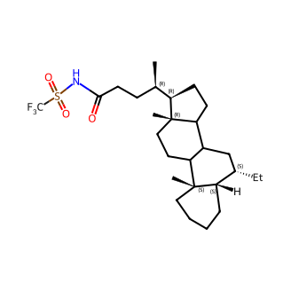 CC[C@H]1CC2C3CC[C@H]([C@H](C)CCC(=O)NS(=O)(=O)C(F)(F)F)[C@@]3(C)CCC2[C@@]2(C)CCCC[C@@H]12